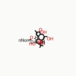 CC1=C[C@H]2[C@]3(O)[C@H](C)[C@@H](O)[C@@]4(O)[C@H]([C@@H]3C=C(CO)C[C@@]2(O)C1=O)C4(C)C.CCCCCCCCCC(=O)OC(C)=O